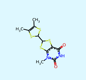 CC1=C(C)SC(C2Sc3c(n(C)c(=O)[nH]c3=O)S2)S1